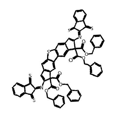 O=C(OCc1ccccc1)C1(C(=O)OCc2ccccc2)C(N=c2c(=S)c3ccccc3c2=S)=Cc2cc3sc4cc5c(cc4c3cc21)C(C(=O)OCc1ccccc1)(C(=O)OCc1ccccc1)C(N=c1c(=S)c2ccccc2c1=S)=C5